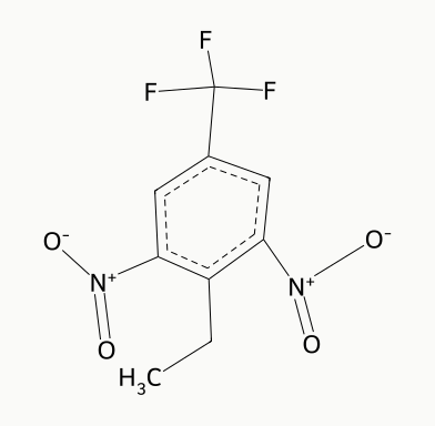 CCc1c([N+](=O)[O-])cc(C(F)(F)F)cc1[N+](=O)[O-]